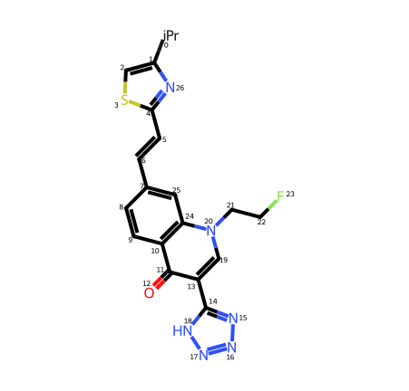 CC(C)c1csc(C=Cc2ccc3c(=O)c(-c4nnn[nH]4)cn(CCF)c3c2)n1